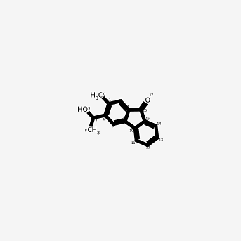 Cc1cc2c(cc1C(C)O)-c1ccccc1C2=O